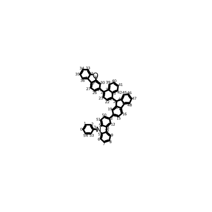 c1ccc(-n2c3ccccc3c3cc(-c4ccc5c(c4)C(c4ccc(-c6ccc7c(c6)oc6ccccc67)c6ccccc46)c4ccccc4-5)ccc32)cc1